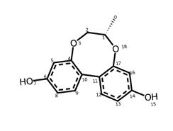 C[C@H]1COc2cc(O)ccc2-c2ccc(O)cc2O1